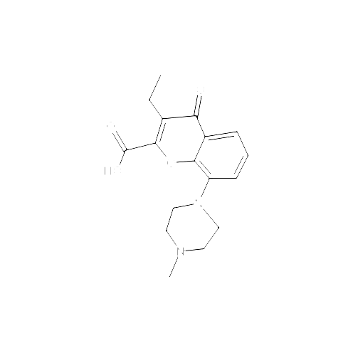 CCc1c(C(=O)O)oc2c(N3CCN(C)CC3)cccc2c1=O